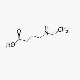 [CH2]CNCCCC(=O)O